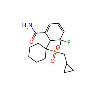 CC1(F)C=CC=C(C(N)=O)C1C1(S(=O)(=O)CC2CC2)CCCCC1